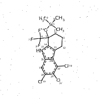 C[Si](C)(C)OC1(C(F)(F)F)CCCc2c1[nH]c1cc(Cl)c(Cl)c(Cl)c21